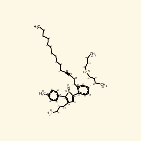 CCCCCCCCCCCC#CCCc1ccccc1C1=CC(CCCC)=C(c2ccc(C)cc2)[N+]1=[N-].CCC[CH2][Pd][CH2]CCC